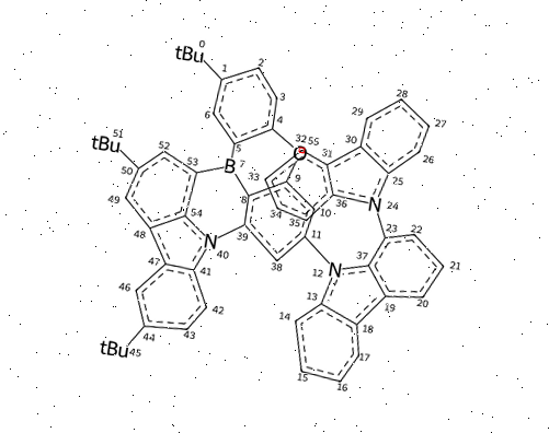 CC(C)(C)c1ccc2c(c1)B1c3c(cc(-n4c5ccccc5c5cccc(-n6c7ccccc7c7ccccc76)c54)cc3-n3c4ccc(C(C)(C)C)cc4c4cc(C(C)(C)C)cc1c43)O2